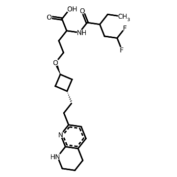 CCC(CC(F)F)C(=O)NC(CCO[C@H]1C[C@H](CCc2ccc3c(n2)NCCC3)C1)C(=O)O